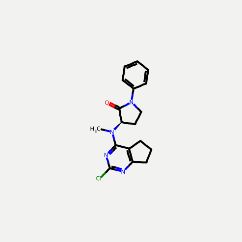 CN(c1nc(Cl)nc2c1CCC2)[C@@H]1CCN(c2ccccc2)C1=O